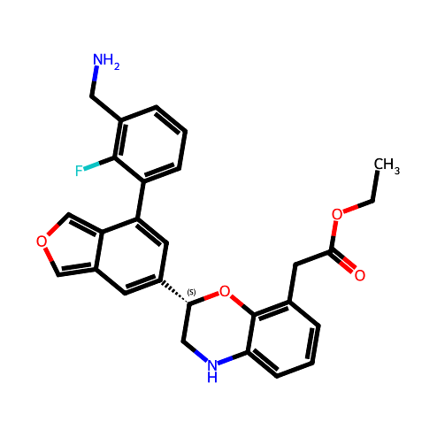 CCOC(=O)Cc1cccc2c1O[C@@H](c1cc(-c3cccc(CN)c3F)c3cocc3c1)CN2